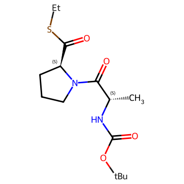 CCSC(=O)[C@@H]1CCCN1C(=O)[C@H](C)NC(=O)OC(C)(C)C